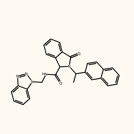 CC(c1ccc2ccccc2c1)N1C(=O)c2ccccc2C1C(=O)NCn1nnc2ccccc21